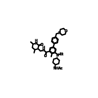 CCN(c1cc(-c2ccc(CN3CCOCC3)cc2)cc(C(=O)NCC2C(=O)NC(C)CC2C)c1C)[C@H]1CC[C@H](NC(C)=O)CC1